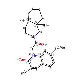 COc1ccc2cc(C(C)C)c(=O)n(CC(=O)N3CC[C@H]4CCCC[C@@H]4C3)c2c1